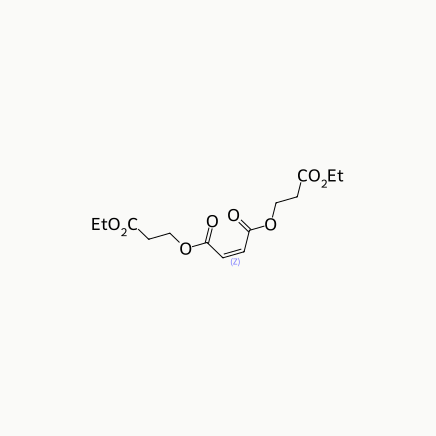 CCOC(=O)CCOC(=O)/C=C\C(=O)OCCC(=O)OCC